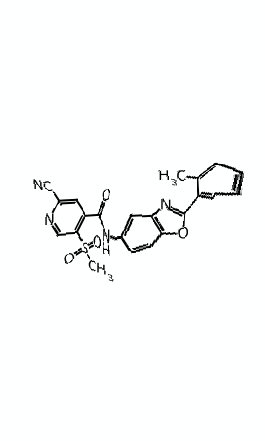 Cc1ccccc1-c1nc2cc(NC(=O)c3cc(C#N)ncc3S(C)(=O)=O)ccc2o1